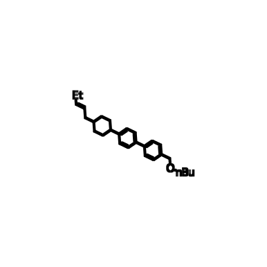 CC/C=C/CC1CCC(c2ccc(-c3ccc(COCCCC)cc3)cc2)CC1